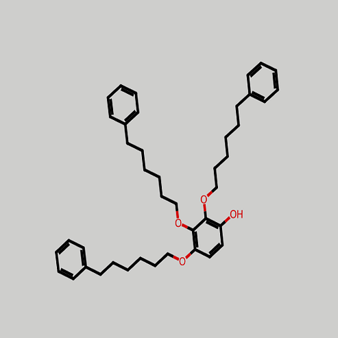 Oc1ccc(OCCCCCCc2ccccc2)c(OCCCCCCc2ccccc2)c1OCCCCCCc1ccccc1